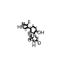 O=C1CN(c2c(O)ccc(-c3c[nH]nc3F)c2F)S(=O)(=O)N1